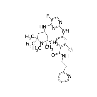 CN1C(C)(C)CC(Nc2nc(Nc3ccc(C(=O)NCCc4ccccn4)c(Cl)c3)ncc2F)CC1(C)C